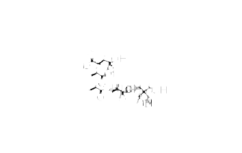 C=CC(=O)O.C=CC(=O)O.C=CC(=O)O.O=C(O)C=CC(=O)O.OCC(CO)(CO)CO